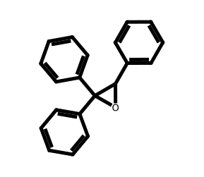 c1ccc(C2OC2(c2ccccc2)c2ccccc2)cc1